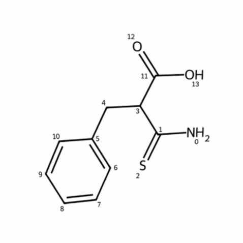 NC(=S)C(Cc1ccccc1)C(=O)O